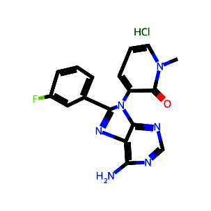 Cl.Cn1cccc(-n2c(-c3cccc(F)c3)nc3c(N)ncnc32)c1=O